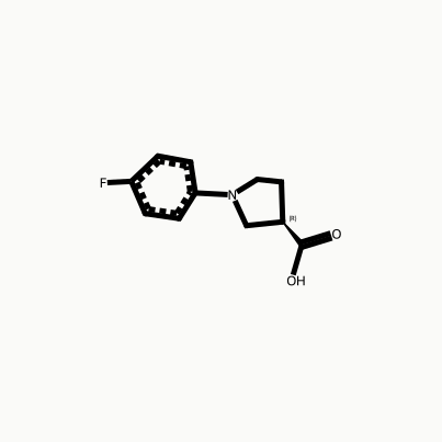 O=C(O)[C@@H]1CCN(c2ccc(F)cc2)C1